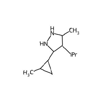 CC(C)C1C(C)NNC1C1CC1C